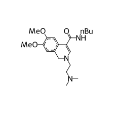 CCCCNC(=O)C1=CN(CCN(C)C)Cc2cc(OC)c(OC)cc21